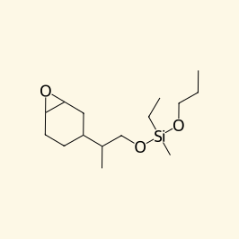 CCCO[Si](C)(CC)OCC(C)C1CCC2OC2C1